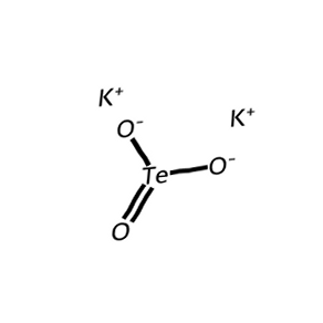 O=[Te]([O-])[O-].[K+].[K+]